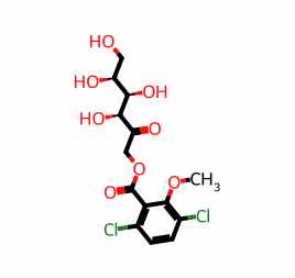 COc1c(Cl)ccc(Cl)c1C(=O)OCC(=O)[C@@H](O)[C@H](O)[C@@H](O)CO